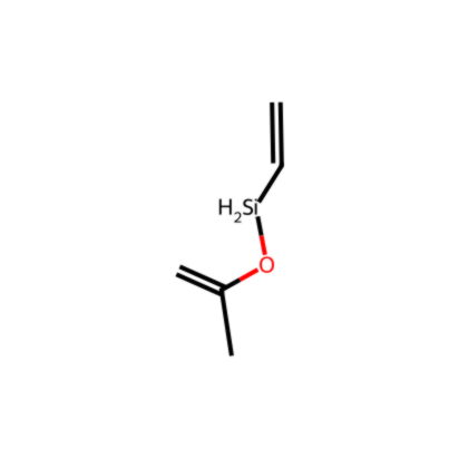 C=C[SiH2]OC(=C)C